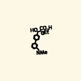 CCO[C@H](C(=O)O)[C@H](O)c1ccc(-c2cccc(CNC)c2)cc1